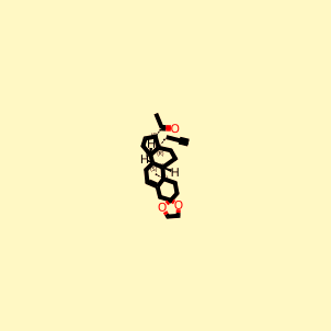 C#CC[C@]12CC[C@H]3[C@@H](CC=C4CC5(CC[C@@]43C)OCCO5)[C@@H]1CC[C@@H]2C(C)=O